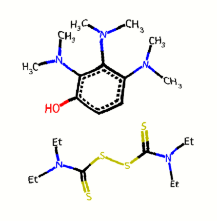 CCN(CC)C(=S)SSC(=S)N(CC)CC.CN(C)c1ccc(O)c(N(C)C)c1N(C)C